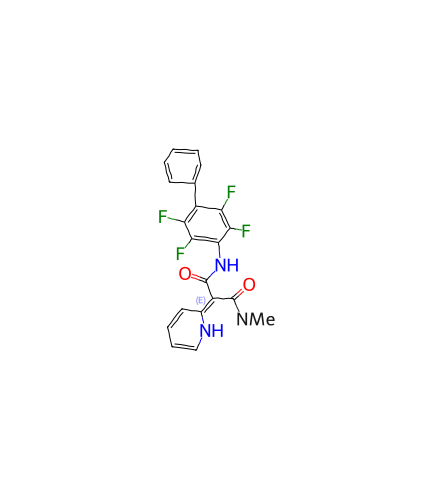 CNC(=O)/C(C(=O)Nc1c(F)c(F)c(-c2ccccc2)c(F)c1F)=C1/C=CC=CN1